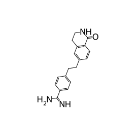 N=C(N)c1ccc(CCc2ccc3c(c2)CCNC3=O)cc1